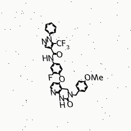 COc1ccc(CN2Cc3c(Oc4ccc(NC(=O)c5cnn(-c6ccccc6)c5C(F)(F)F)cc4F)ccnc3NC2=O)cc1